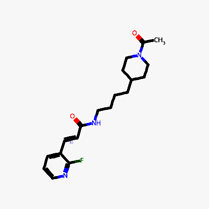 CC(=O)N1CCC(CCCCNC(=O)/C=C/c2cccnc2F)CC1